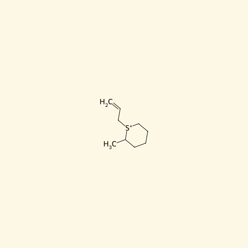 C=CC[S+]1CCCCC1C